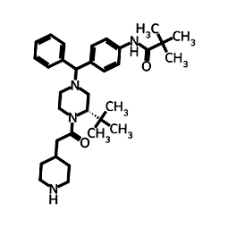 CC(C)(C)C(=O)Nc1ccc(C(c2ccccc2)N2CCN(C(=O)CC3CCNCC3)[C@@H](C(C)(C)C)C2)cc1